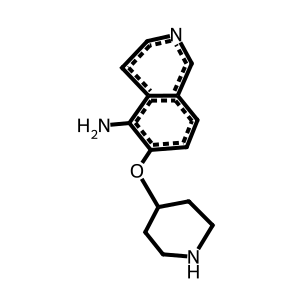 Nc1c(OC2CCNCC2)ccc2cnccc12